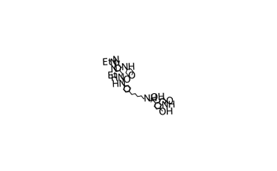 CCc1nc2c(cnn2CC)c(NC2CCOCC2)c1CNC(=O)Nc1ccc(CCCCCNC[C@H](O)c2ccc(O)c3[nH]c(=O)ccc23)cc1